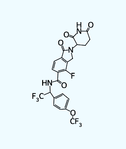 O=C1CCC(N2Cc3c(ccc(C(=O)NC(c4ccc(OC(F)(F)F)cc4)C(F)(F)F)c3F)C2=O)C(=O)N1